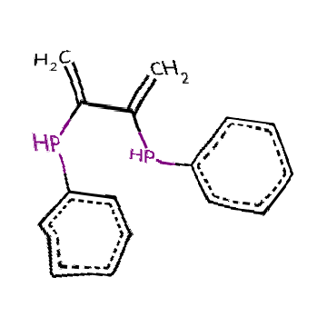 C=C(Pc1ccccc1)C(=C)Pc1ccccc1